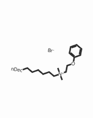 CCCCCCCCCCCCCCCC[N+](C)(C)CCOc1ccccc1.[Br-]